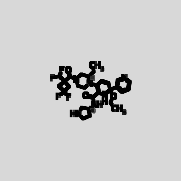 CCOC1(c2cccnc2)C=CC(N2CCN(C(=O)C3(C(F)F)CC(F)(F)C3)C[C@H]2CC)=C(C(=O)N[C@@H]2CCNC2)N1